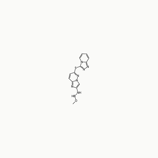 COBNc1cn2nc(Sc3nnc4ccccn34)ccc2n1